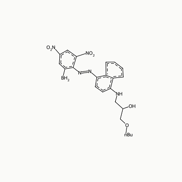 Bc1cc([N+](=O)[O-])cc([N+](=O)[O-])c1/N=N/c1ccc(NCC(O)COCCCC)c2ccccc12